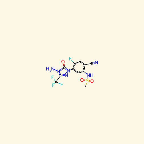 CS(=O)(=O)Nc1cc(-n2nc(C(F)(F)F)n(N)c2=O)c(F)cc1C#N